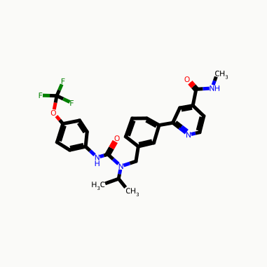 CNC(=O)c1ccnc(-c2cccc(CN(C(=O)Nc3ccc(OC(F)(F)F)cc3)C(C)C)c2)c1